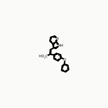 O=C(O)C(=Cc1c[nH]c2ncccc12)c1ccc(Oc2ccccc2)cc1